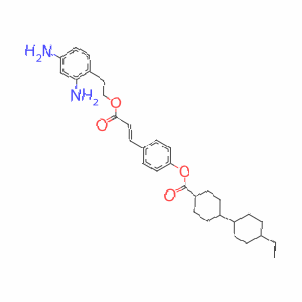 CCC1CCC(C2CCC(C(=O)Oc3ccc(/C=C/C(=O)OCCc4ccc(N)cc4N)cc3)CC2)CC1